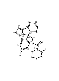 CC1CCCCN1C(=O)CCC1(c2ccc(F)cc2)c2ccccc2-c2nccn21